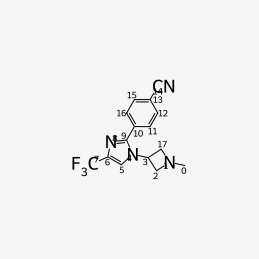 CN1CC(n2cc(C(F)(F)F)nc2-c2ccc(C#N)cc2)C1